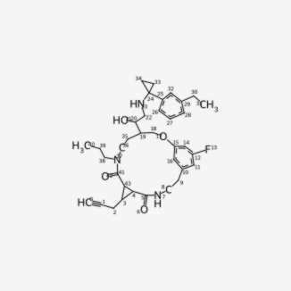 C#CCC1C2C(=O)NCCc3cc(F)cc(c3)OCC(C(O)CNC3(c4cccc(CC)c4)CC3)CCN(CCC)C(=O)C12